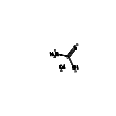 NC(=S)S.[Cd]